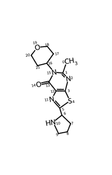 Cc1nc2sc(C3CCCN3)nc2c(=O)n1C1CCOCC1